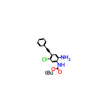 CC(C)(C)OC(=O)Nc1cc(Cl)c(C#Cc2ccccc2)cc1N